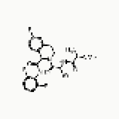 CNC(C)C(=O)NC(C(=O)N1CCc2cc(F)ccc2C1C(=O)Nc1c(F)cccc1F)C(C)C